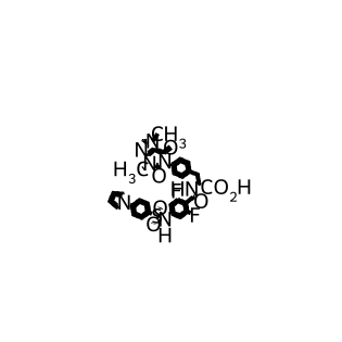 Cn1cnc2c1c(=O)n(-c1ccc(C[C@H](NC(=O)c3c(F)cc(NS(=O)(=O)c4ccc(-n5cccc5)cc4)cc3F)C(=O)O)cc1)c(=O)n2C